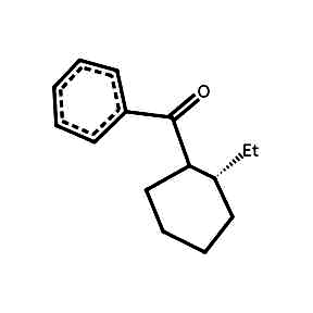 CC[C@@H]1CCCCC1C(=O)c1ccccc1